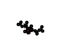 c1ccc(-c2nc(-c3cccc(-n4c5ccccc5c5ccccc54)c3)nc(-c3cc(-n4c5ccccc5c5ccccc54)c(-n4c5ccccc5c5cc(-c6ccc7c(c6)c6ccccc6n7-c6ccc7c(c6)c6ccccc6n7-c6ccccc6)ccc54)c(-n4c5ccccc5c5ccccc54)c3)n2)cc1